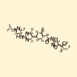 Cc1nn(C2CC2)cc1Nc1ncc(-c2ccc(CC(=O)Nc3cc(C4(C(F)(F)F)CC4)on3)c(F)c2)c(C)n1